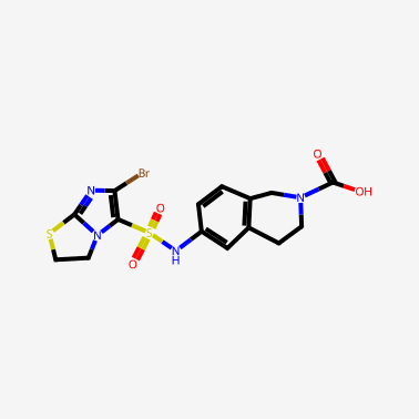 O=C(O)N1CCc2cc(NS(=O)(=O)c3c(Br)nc4n3CCS4)ccc2C1